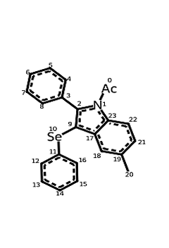 CC(=O)n1c(-c2ccccc2)c([Se]c2ccccc2)c2cc(C)ccc21